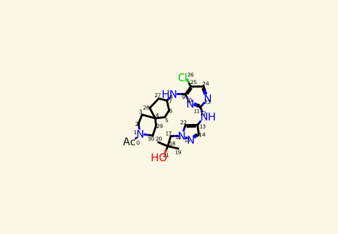 CC(=O)N1CCC2(CCC(Nc3nc(Nc4cnn(CC(C)(C)O)c4)ncc3Cl)CC2)CC1